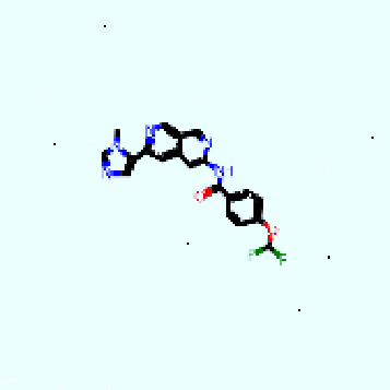 Cn1cncc1-c1cc2cc(NC(=O)c3ccc(OC(F)F)cc3)ncc2cn1